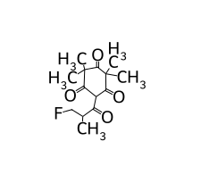 CC(CF)C(=O)C1C(=O)C(C)(C)C(=O)C(C)(C)C1=O